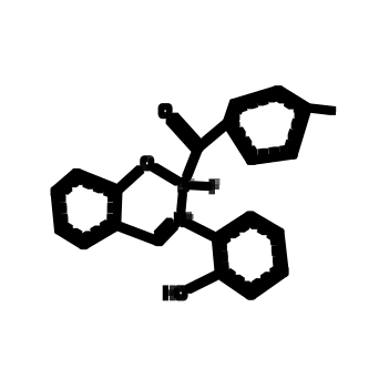 Cc1ccc(C(=O)[B-]2(F)Oc3ccccc3C=[N+]2c2ccccc2O)cc1